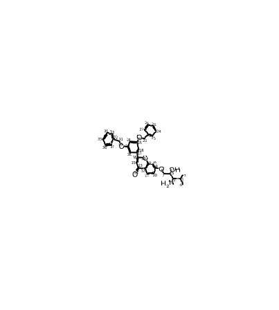 CC(C)C(N)[C@H](O)COc1ccc2c(=O)cc(-c3cc(OCc4ccccc4)cc(OCc4ccccc4)c3)oc2c1